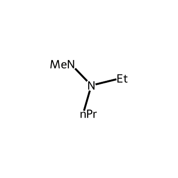 CCCN(CC)NC